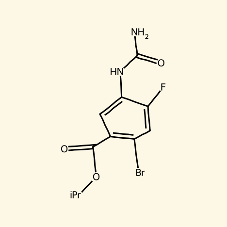 CC(C)OC(=O)c1cc(NC(N)=O)c(F)cc1Br